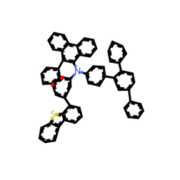 c1ccc(-c2ccc(-c3ccccc3)c(-c3ccc(N(c4cccc(-c5cccc6c5sc5ccccc56)c4)c4c(-c5ccccc5)c5ccccc5c5ccccc45)cc3)c2)cc1